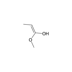 CC=C(O)OC